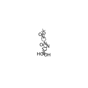 CC(C)(C)OC(=O)N1CCC(n2cnc3cc(B(O)O)sc3c2=O)CC1